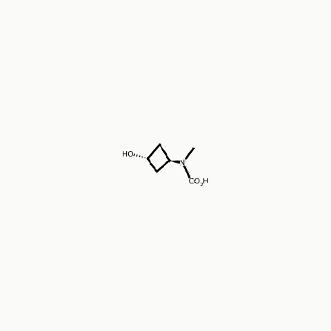 CN(C(=O)O)[C@H]1C[C@H](O)C1